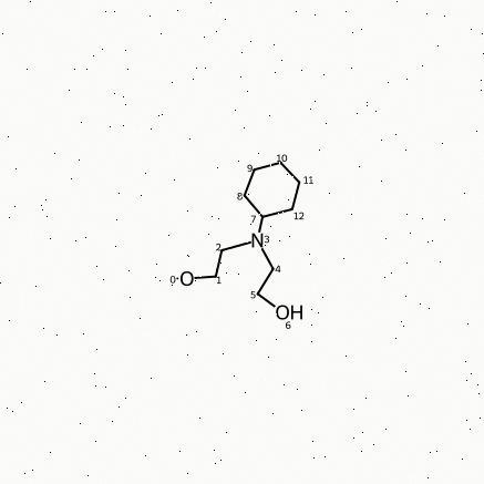 [O]CCN(CCO)C1CCCCC1